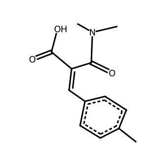 Cc1ccc(/C=C(/C(=O)O)C(=O)N(C)C)cc1